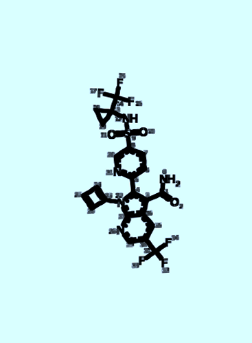 NC(=O)c1c(-c2ccc(S(=O)(=O)NC3(C(F)(F)F)CC3)cn2)n(C2=CC=C2)c2ncc(C(F)(F)F)cc12